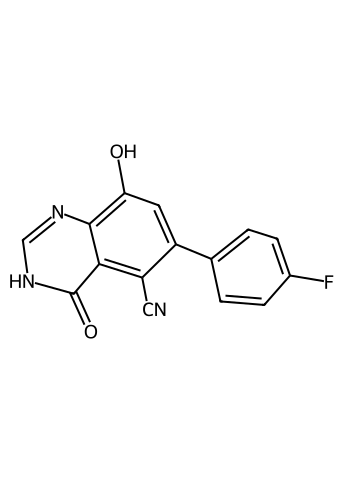 N#Cc1c(-c2ccc(F)cc2)cc(O)c2nc[nH]c(=O)c12